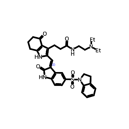 CCN(CC)CCNC(=O)CCc1c(/C=C2\C(=O)Nc3ccc(S(=O)(=O)N4CCc5ccccc54)cc32)[nH]c2c1C(=O)CCC2